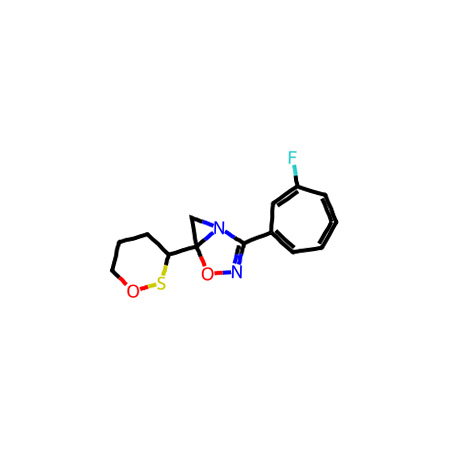 FC1=CC(C2=NOC3(C4CCCOS4)CN23)=CC=C=C1